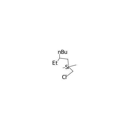 CCCCC(CC)C[Si](C)(C)CCl